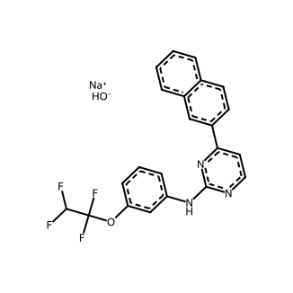 FC(F)C(F)(F)Oc1cccc(Nc2nccc(-c3ccc4ccccc4c3)n2)c1.[Na+].[OH-]